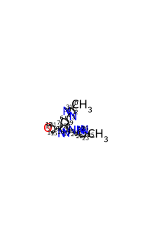 Cc1cnc(-c2ccc3c(C4CCOCC4)nnc(NCc4ccc(C)nn4)c3c2)nc1